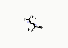 C/C(F)=C\C=C(/C)C#N